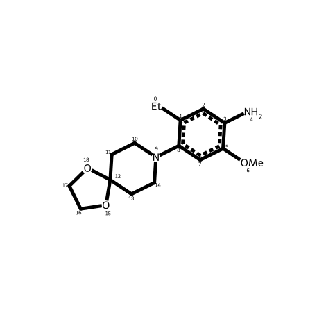 CCc1cc(N)c(OC)cc1N1CCC2(CC1)OCCO2